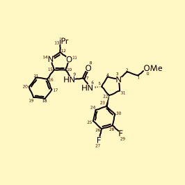 COCCN1C[C@@H](NC(=O)Nc2oc(C(C)C)nc2-c2ccccc2)[C@H](c2ccc(F)c(F)c2)C1